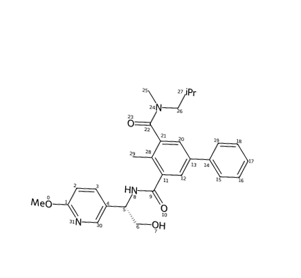 COc1ccc([C@@H](CO)NC(=O)c2cc(-c3ccccc3)cc(C(=O)N(C)CC(C)C)c2C)cn1